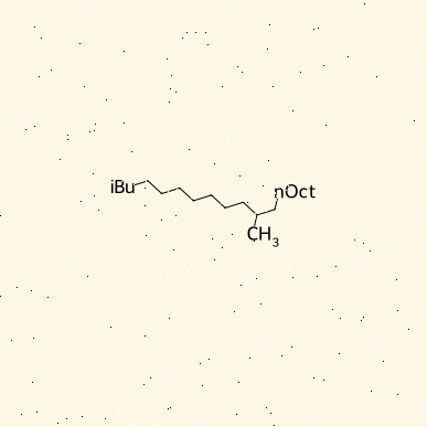 CCCCCCCCCC(C)CCCCCCCC(C)CC